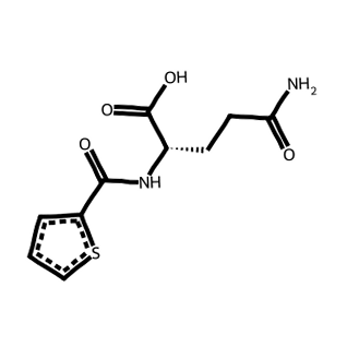 NC(=O)CC[C@H](NC(=O)c1cccs1)C(=O)O